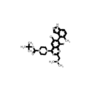 Cc1ccc2[nH]ncc2c1-c1c(Cl)cc2c(N3CCN(C(=O)OC(C)(C)C)CC3)nc(CN(C)C)nc2c1F